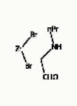 CCCNCC=O.[Br][Zr][Br]